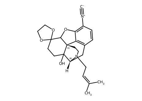 [C-]#[N+]c1ccc2c3c1OC1C4(CCC5(O)[C@@H](C2)N(CC=C(C)C)CC[C@]315)OCCO4